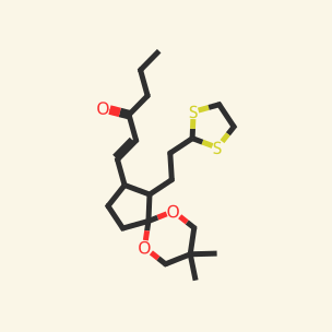 CCCC(=O)C=CC1CCC2(OCC(C)(C)CO2)C1CCC1SCCS1